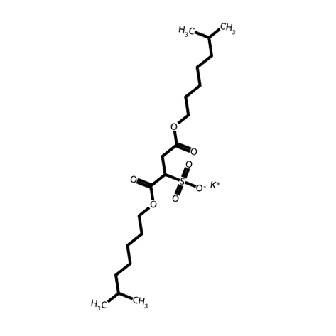 CC(C)CCCCCOC(=O)CC(C(=O)OCCCCCC(C)C)S(=O)(=O)[O-].[K+]